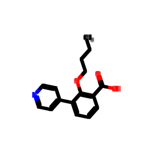 CCCCOc1c(C(=O)O)cccc1-c1ccncc1